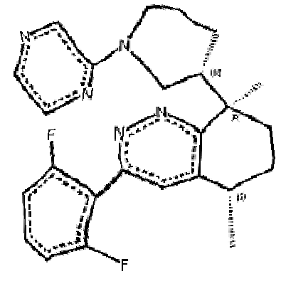 C[C@H]1CC[C@](C)([C@H]2CCCN(c3cnccn3)C2)c2nnc(-c3c(F)cccc3F)cc21